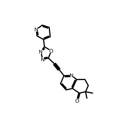 CC1(C)CCc2nc(C#Cc3nnc(-c4cccnc4)o3)ccc2C1=O